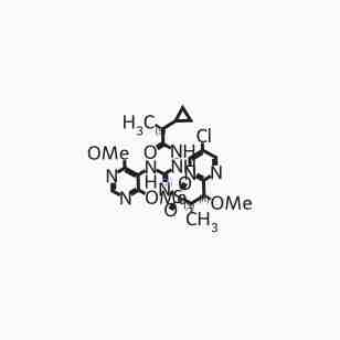 COc1ncnc(OC)c1N/C(=N/S(=O)(=O)[C@@H](C)[C@H](OC)c1ncc(Cl)cn1)NNC(=O)[C@@H](C)C1CC1